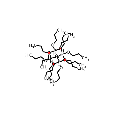 CCCO[PH](OCCC)(OCCC)[Ni]([PH](OCCC)(OCCC)OCCC)([PH](OCCC)(OCCC)OCCC)[PH](OCCC)(OCCC)OCCC